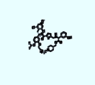 CN1CCC(COC(=O)C(NCc2ccc(C(=O)O[C@@H](Cc3c(Cl)c[n+]([O-])cc3Cl)c3ccc(OC(F)F)c(OCC4CC4)c3)s2)c2cccc(O)c2)CC1